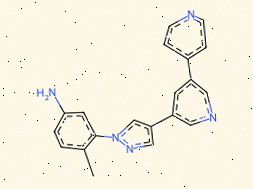 Cc1ccc(N)cc1-n1cc(-c2cncc(-c3ccncc3)c2)cn1